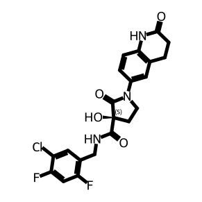 O=C1CCc2cc(N3CC[C@](O)(C(=O)NCc4cc(Cl)c(F)cc4F)C3=O)ccc2N1